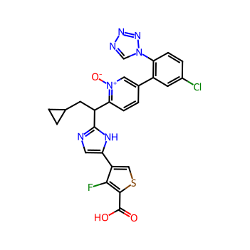 O=C(O)c1scc(-c2cnc(C(CC3CC3)c3ccc(-c4cc(Cl)ccc4-n4cnnn4)c[n+]3[O-])[nH]2)c1F